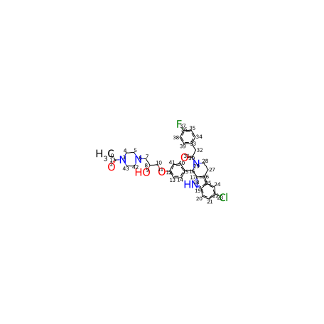 CC(=O)N1CCN(CC(O)COc2ccc(C3c4[nH]c5ccc(Cl)cc5c4CCN3C(=O)Cc3ccc(F)cc3)cc2)CC1